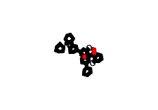 C1=CCCC(c2cccc3c2Oc2ccccc2C32c3ccccc3Oc3cc(-c4ccc5c(c4)c4c(n5C5C=CC=CC5)CCCC4)ccc32)=C1